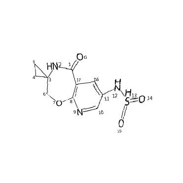 O=C1NC2(CC2)COc2ncc(N[SH](=O)=O)cc21